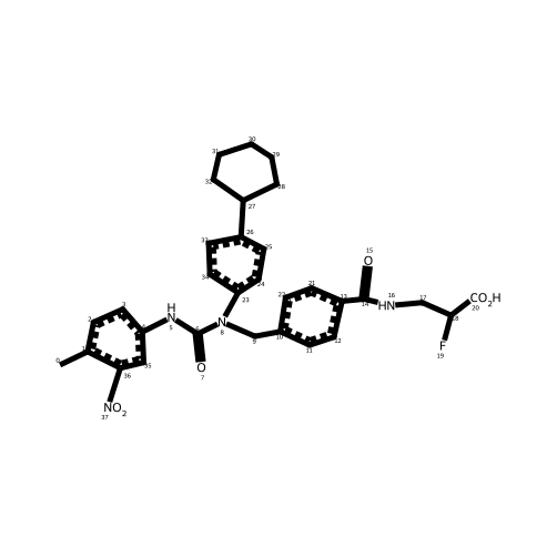 Cc1ccc(NC(=O)N(Cc2ccc(C(=O)NCC(F)C(=O)O)cc2)c2ccc(C3CCCCC3)cc2)cc1[N+](=O)[O-]